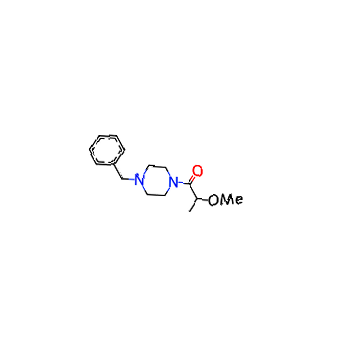 COC(C)C(=O)N1CCN(Cc2ccccc2)CC1